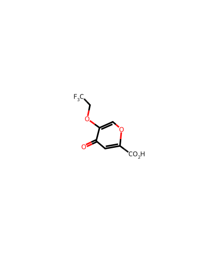 O=C(O)c1cc(=O)c(OCC(F)(F)F)co1